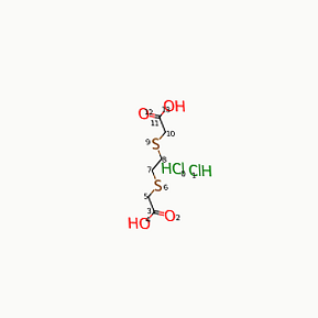 Cl.Cl.O=C(O)CSCCSCC(=O)O